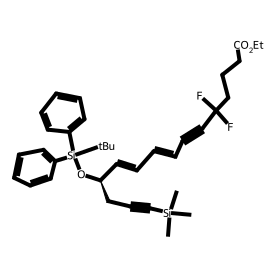 CCOC(=O)CCCC(F)(F)C#C/C=C/C=C/[C@@H](CC#C[Si](C)(C)C)O[Si](c1ccccc1)(c1ccccc1)C(C)(C)C